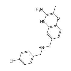 CC1=C(N)Nc2cc(CNCc3ccc(Cl)cc3)ccc2O1